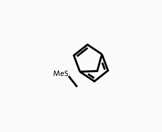 C1=CC2=CC=C1C2.CSC